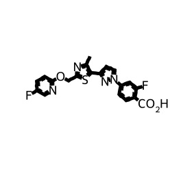 Cc1nc(COc2ccc(F)cn2)sc1-c1ccn(-c2ccc(C(=O)O)c(F)c2)n1